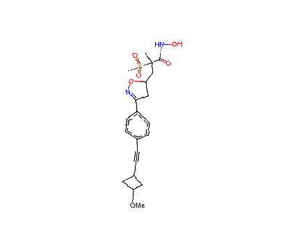 COC1CC(C#Cc2ccc(C3=NOC(CC(C)(C(=O)NO)S(C)(=O)=O)C3)cc2)C1